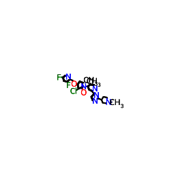 Cc1cnc(-c2ccnc(C3CCN(C)CC3)n2)cc1-n1c(C)cc(OCc2ncc(F)cc2F)c(Cl)c1=O